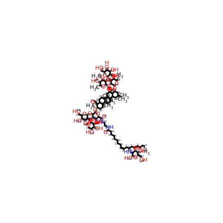 CCCCCCC(C/C=C\CCCCCCCC(=O)NCCNC(=O)C1OC(O[C@H]2CC[C@@]3(C)C(CC[C@]4(C)C3CC=C3C5CC(C)(C)CC[C@]5(C(=O)OC5OC(C)C(O)C(O)C5OC5OC(C)C(O)C(OC)C5OC5OC(CO)C(O)C(O)C5O)[C@H](O)C[C@]34C)[C@]2(C)C=O)C(OC2OC(CO)C(O)C(O)C2O)C(OC2OCC(O)C(O)C2O)C1O)NC1C(O)OC(CO)C(O)C1O